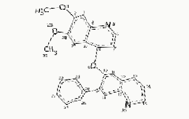 COc1cc2nccc(Oc3cc4cccnc4cc3-c3ccccc3)c2cc1OC